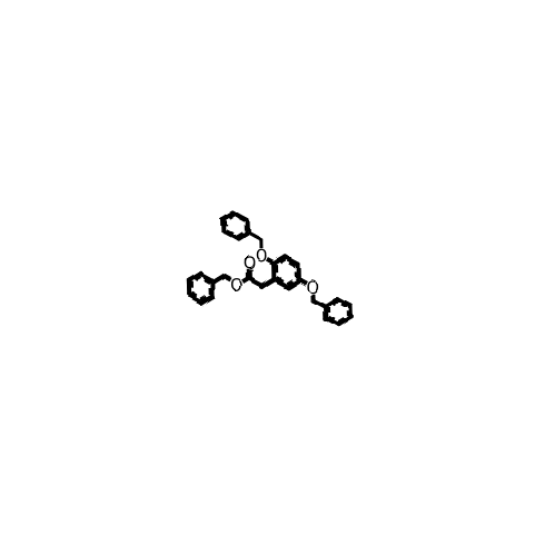 O=C(Cc1cc(OCc2ccccc2)ccc1OCc1ccccc1)OCc1ccccc1